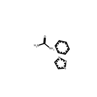 NC(N)=O.c1ccccc1.c1csnn1